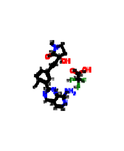 Cc1ccc(C#C[C@]2(O)CCN(C)C2=O)cc1-c1ncc2ccnc(N)c2n1.O=C(O)C(F)(F)F